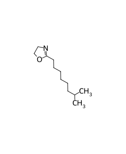 CC(C)CCCCCCC1=NCCO1